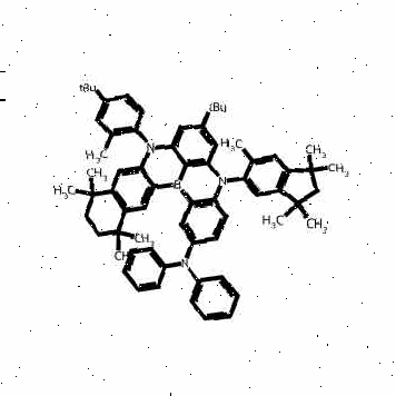 Cc1cc(C(C)(C)C)ccc1N1c2cc3c(cc2B2c4cc(N(c5ccccc5)c5ccccc5)ccc4N(c4cc5c(cc4C)C(C)(C)CC5(C)C)c4cc(C(C)(C)C)cc1c42)C(C)(C)CCC3(C)C